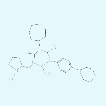 CCN1CCCC1CN1C(N)N(c2ccc(N3CCOCC3)cc2)C(N)N(C2CCCCCC2)C1N